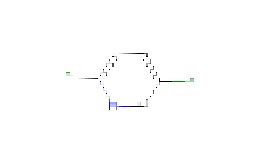 Fc1[c]nc(F)cc1